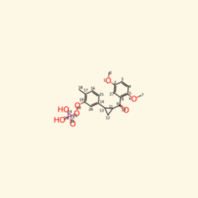 COc1ccc(OC)c(C(=O)C2CC2c2ccc(C)c(OOP(=O)(O)O)c2)c1